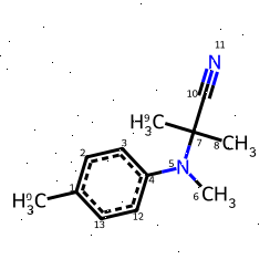 Cc1ccc(N(C)C(C)(C)C#N)cc1